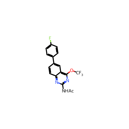 CC(=O)Nc1nc(OC(F)(F)F)c2cc(-c3ccc(F)cc3)ccc2n1